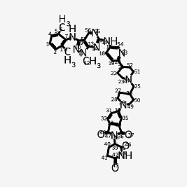 Cc1cccc(C)c1Nc1nn(C)c2nc(Nc3ccc(C4CCN(CC5CCN(c6ccc7c(c6)C(=O)N(C6CCC(=O)NC6=O)C7=O)CC5)CC4)nc3)ncc12